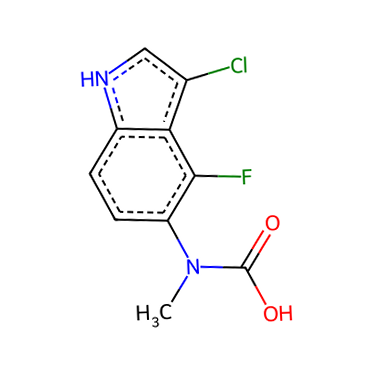 CN(C(=O)O)c1ccc2[nH]cc(Cl)c2c1F